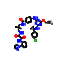 CC(C)(CNC(=O)C(=O)Nc1ccccc1-n1cccn1)CNC(=O)c1ccc(Nc2nc(NC3(c4ccc(Cl)cc4)CC3)nc(OCC(F)(F)F)n2)cc1